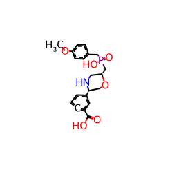 COc1ccc(CP(=O)(O)C[C@@H]2CN[C@H](c3cccc(C(=O)O)c3)CO2)cc1